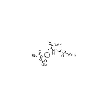 CCCC(C)OC(=O)OCCN[C@@H](Cc1ccc(OC(=O)C(C)(C)C)c(OC(=O)C(C)(C)C)c1)C(=O)OC